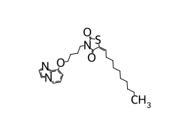 CCCCCCCCC/C=C1/SC(=O)N(CCCCOc2cccn3ccnc23)C1=O